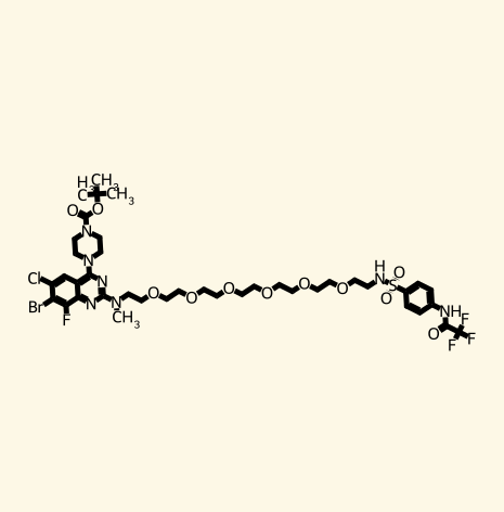 CN(CCOCCOCCOCCOCCOCCOCCNS(=O)(=O)c1ccc(NC(=O)C(F)(F)F)cc1)c1nc(N2CCN(C(=O)OC(C)(C)C)CC2)c2cc(Cl)c(Br)c(F)c2n1